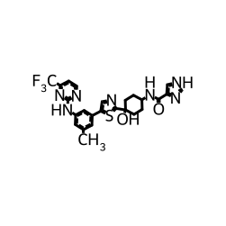 Cc1cc(Nc2nccc(C(F)(F)F)n2)cc(-c2cnc(C3(O)CCC(NC(=O)c4c[nH]cn4)CC3)s2)c1